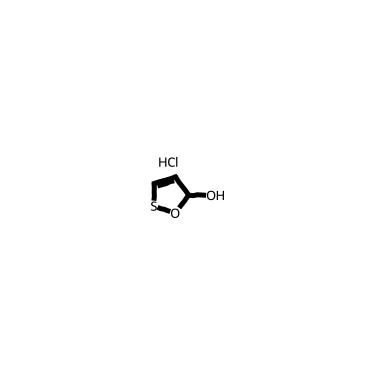 Cl.OC1C=CSO1